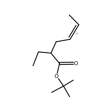 C/C=C\CC(CC)C(=O)OC(C)(C)C